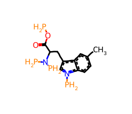 Cc1ccc2c(c1)c(CC(C(=O)OP)N(P)P)cn2P